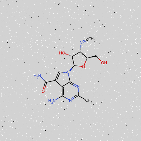 C=N[C@H]1[C@@H](O)[C@H](n2cc(C(N)=O)c3c(N)nc(C)nc32)O[C@@H]1CO